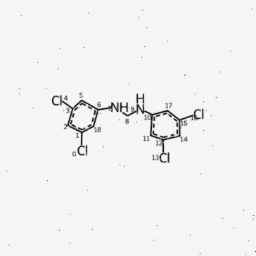 Clc1cc(Cl)cc(NCNc2cc(Cl)cc(Cl)c2)c1